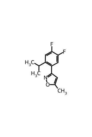 Cc1cc(-c2cc(F)c(F)cc2C(C)C)no1